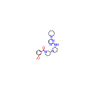 COc1cccc(C(=O)N2CCCC(N3CCCC(Nc4nccc(N5CCCCCC5)n4)C3)C2)c1